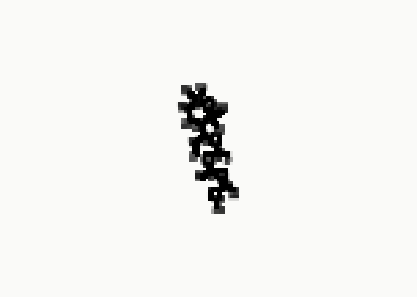 CCC(OC(C)OC(C)OC(C)OC)C1CC[Si](C)(C)OC1(C)C